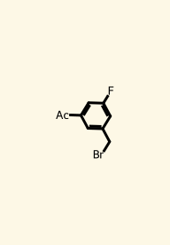 CC(=O)c1cc(F)cc(CBr)c1